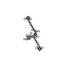 OCc1cc(C(O)CN(CCCCCCOCCOCc2c(Cl)cccc2Cl)Cc2cc(C(O)CNCCCCCCOCCOCc3c(Cl)cccc3Cl)ccc2O)ccc1O